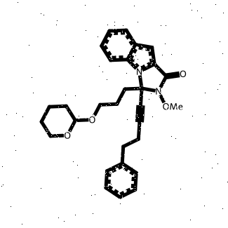 CON1C(=O)c2cc3ccccc3n2C1(C#CCCc1ccccc1)CCCOC1CCCCO1